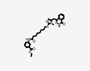 CCOC(=O)c1cccc(NC(=O)CCCCCCCSc2nnc(Cc3nn(C)c(=O)c4ccccc34)n2C)c1